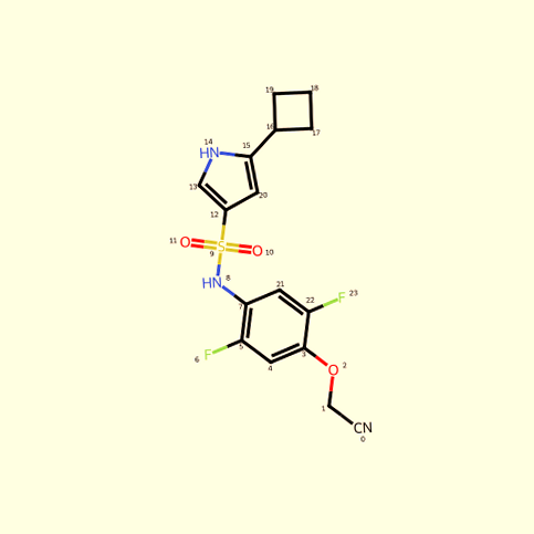 N#CCOc1cc(F)c(NS(=O)(=O)c2c[nH]c(C3CCC3)c2)cc1F